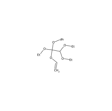 [CH2]COC(OC=C)(OC(C)C)C(OCC)OCC